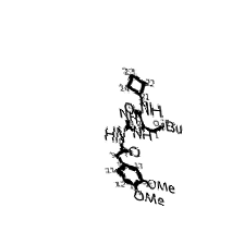 CCC(C)CC(NC(=N)NC(=O)Cc1ccc(OC)c(OC)c1)C(=O)NC1CCC1